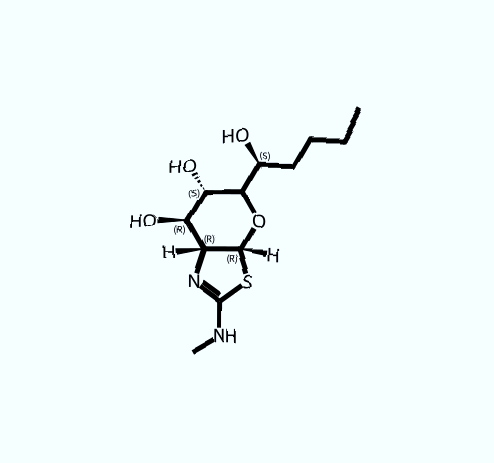 CCCC[C@H](O)C1O[C@@H]2SC(NC)=N[C@@H]2[C@@H](O)[C@@H]1O